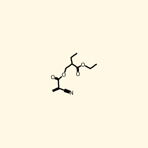 C=C(C#N)C(=O)OCC(CC)C(=O)OCC